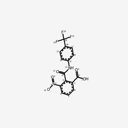 O=C(O)c1cccc([N+](=O)[O-])c1C(=O)Nc1ccc(C(F)(F)F)cc1